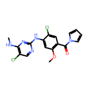 CNc1nc(Nc2cc(OC)c(C(=O)n3cccc3)cc2Cl)ncc1Cl